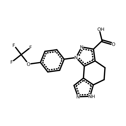 O=C(O)c1nn(-c2ccc(OC(F)(F)F)cc2)c2c1CCc1[nH]ncc1-2